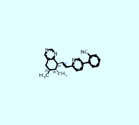 C[C@H]1[C@H](/C=C/c2ccc(-c3ccccc3C#N)cn2)c2ncncc2C[C@@H]1C